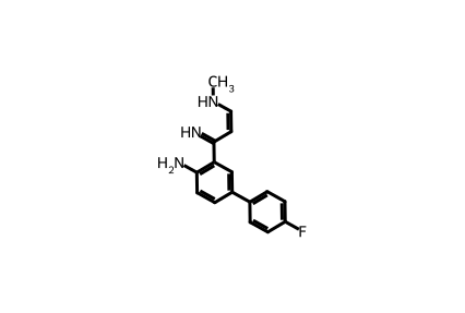 CN/C=C\C(=N)c1cc(-c2ccc(F)cc2)ccc1N